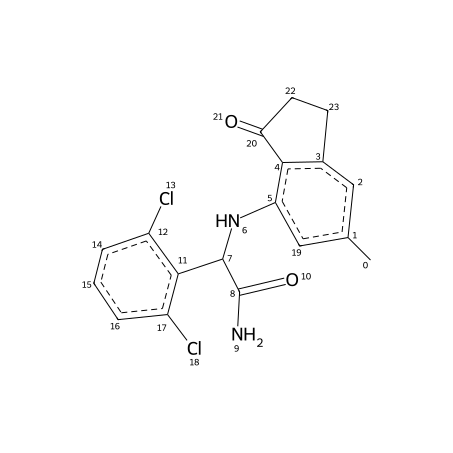 Cc1cc2c(c(NC(C(N)=O)c3c(Cl)cccc3Cl)c1)C(=O)CC2